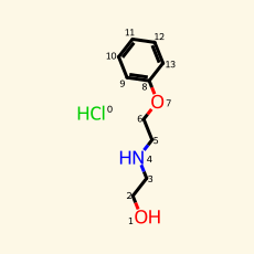 Cl.OCCNCCOc1ccccc1